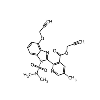 C#CCOC(=O)c1cc(C)cnc1-c1nc2c(OCC#C)cccc2n1S(=O)(=O)N(C)C